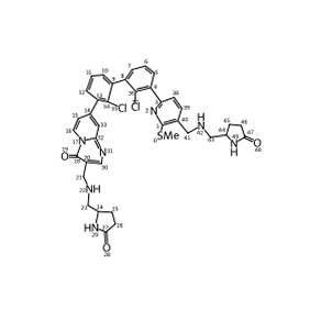 CSc1nc(-c2cccc(-c3cccc(-c4ccn5c(=O)c(CNCC6CCC(=O)N6)cnc5c4)c3Cl)c2Cl)ccc1CNCC1CCC(=O)N1